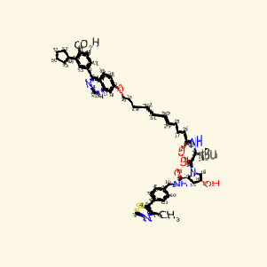 Cc1ncsc1-c1ccc(CNC(=O)[C@@H]2C[C@@H](O)CN2C(=O)[C@@H](NC(=O)CCCCCCCCCCOc2ccc3c(-c4ccc(C(=O)O)c(C5CCCC5)c4)ncnc3c2)C(C)(C)C)cc1